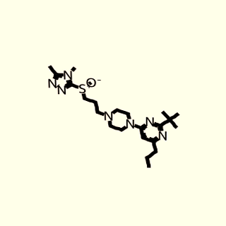 CCCc1cc(N2CCN(CCC[S+]([O-])c3nnc(C)n3C)CC2)nc(C(C)(C)C)n1